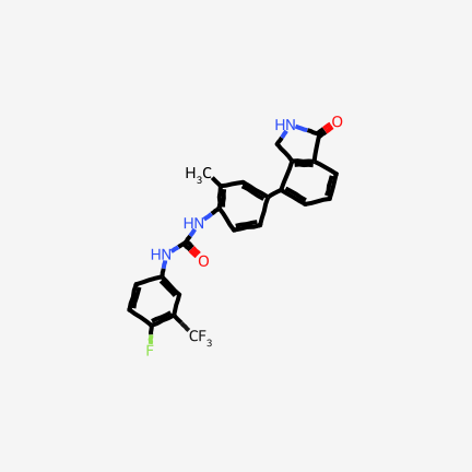 Cc1cc(-c2cccc3c2CNC3=O)ccc1NC(=O)Nc1ccc(F)c(C(F)(F)F)c1